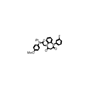 COc1ccc(N(C(=O)CN2C(=O)CC(=O)N(c3cccc(F)c3)c3ccccc32)C(C)C)cc1